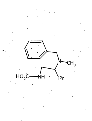 CC(C)C(CNC(=O)O)N(C)Cc1ccccc1